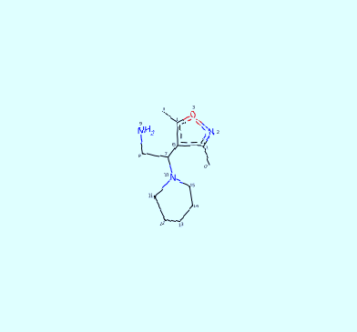 Cc1noc(C)c1C(CN)N1CCCCC1